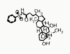 CC[C@H]1[C@@H](O)[C@@H]2[C@H](CC[C@]3(C)[C@@H]([C@H](C)CCC(=O)NS(=O)(=O)c4ccccc4)CC[C@@H]23)[C@@]2(C)CC[C@@H](O)C[C@@H]12